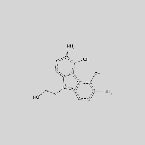 Nc1ccc2c(c1O)c1c(O)c(N)ccc1n2CCO